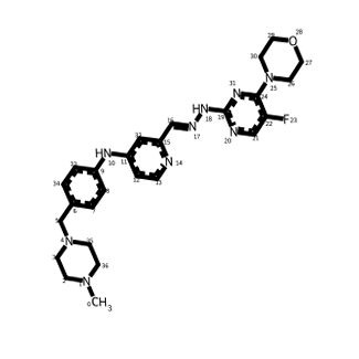 CN1CCN(Cc2ccc(Nc3ccnc(/C=N/Nc4ncc(F)c(N5CCOCC5)n4)c3)cc2)CC1